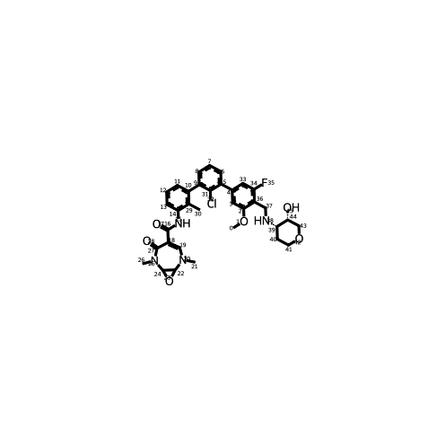 COc1cc(-c2cccc(-c3cccc(NC(=O)C4=CN(C)C5OC5N(C)C4=O)c3C)c2Cl)cc(F)c1CN[C@H]1CCOC[C@H]1O